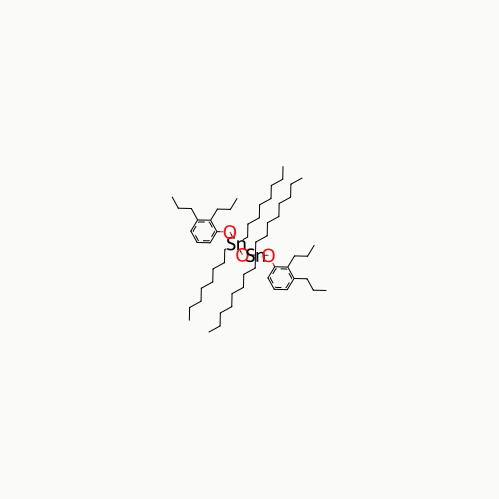 CCCCCCC[CH2][Sn]([CH2]CCCCCCC)([O]c1cccc(CCC)c1CCC)[O][Sn]([CH2]CCCCCCC)([CH2]CCCCCCC)[O]c1cccc(CCC)c1CCC